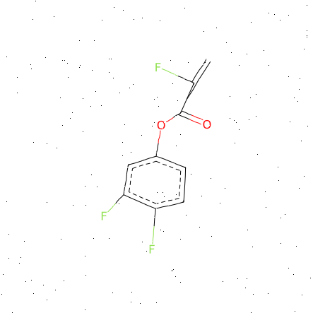 C=C(F)C(=O)Oc1ccc(F)c(F)c1